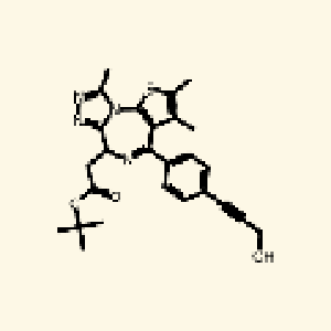 Cc1sc2c(c1C)C(c1ccc(C#CCO)cc1)=NC(CC(=O)OC(C)(C)C)c1nnc(C)n1-2